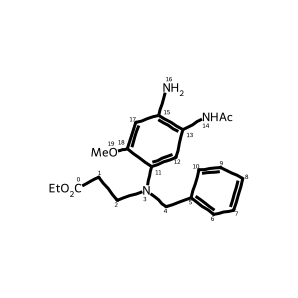 CCOC(=O)CCN(Cc1ccccc1)c1cc(NC(C)=O)c(N)cc1OC